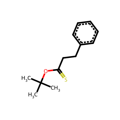 CC(C)(C)OC(=S)CCc1ccccc1